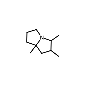 CC1CC2(C)CCCN2C1C